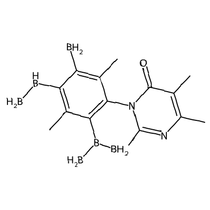 BBc1c(B)c(C)c(-n2c(C)nc(C)c(C)c2=O)c(B(B)B)c1C